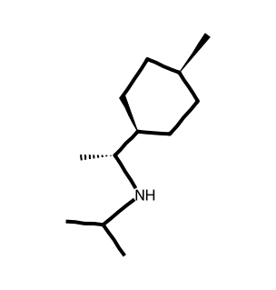 CC(C)N[C@H](C)[C@H]1CC[C@@H](C)CC1